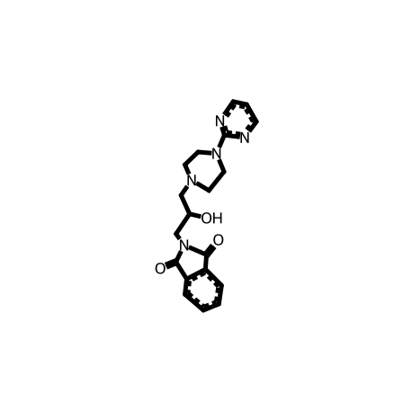 O=C1c2ccccc2C(=O)N1CC(O)CN1CCN(c2ncccn2)CC1